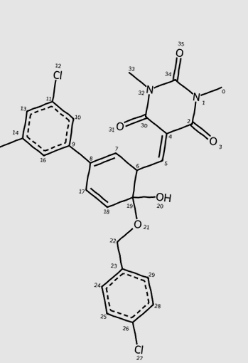 CN1C(=O)C(=CC2C=C(c3cc(Cl)cc(Cl)c3)C=CC2(O)OCc2ccc(Cl)cc2)C(=O)N(C)C1=O